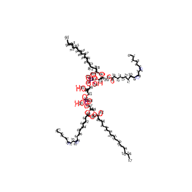 CCCCC/C=C\C/C=C\CCCCCCCC(=O)OC[C@H](COP(=O)(O)OC[C@@H](O)COP(=O)(O)OC[C@@H](COC(=O)CCCCCCCCCCCCCCC)OC(=O)CCCCCCC/C=C\C/C=C\CCCCC)OC(=O)CCCCCCCCCCCCCCC